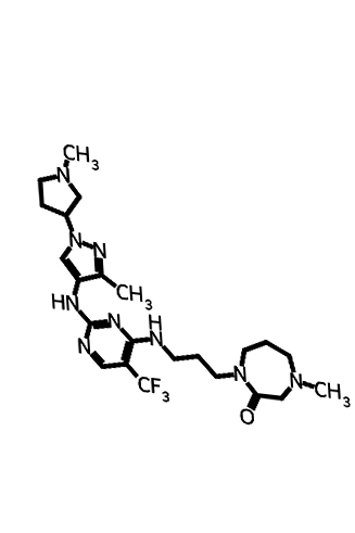 Cc1nn(C2CCN(C)C2)cc1Nc1ncc(C(F)(F)F)c(NCCCN2CCCN(C)CC2=O)n1